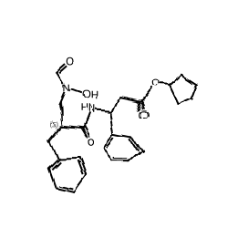 O=CN(O)C[C@H](Cc1ccccc1)C(=O)NC(CC(=O)OC1CCCC1)c1ccccc1